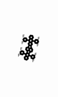 Fc1cc(F)cc(-c2c3c(c(-c4cc(F)cc(F)c4)c4ccccc24)-c2ccc4c5c(ccc-3c25)-c2cc3c(-c5cc(F)cc(F)c5)c5ccccc5c(-c5cc(F)cc(F)c5)c3cc2-4)c1